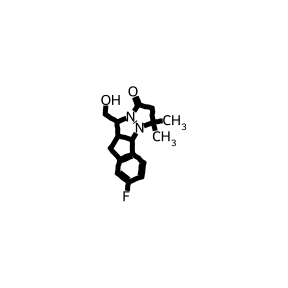 CC1(C)CC(=O)N2C(CO)C3Cc4cc(F)ccc4C3N21